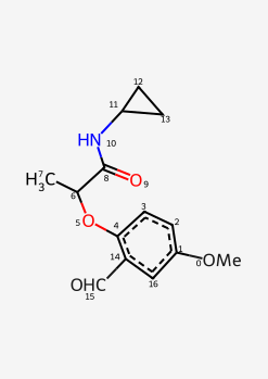 COc1ccc(OC(C)C(=O)NC2CC2)c(C=O)c1